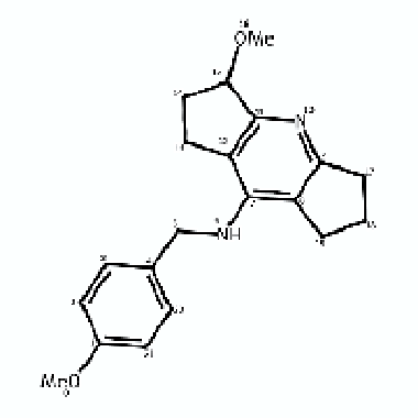 COc1ccc(CNc2c3c(nc4c2CCC4OC)CCC3)cc1